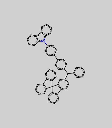 c1ccc(C(c2ccc(-c3ccc(-n4c5ccccc5c5ccccc54)cc3)cc2)c2ccc3c(c2)C2(c4ccccc4-c4ccccc42)c2ccccc2-3)cc1